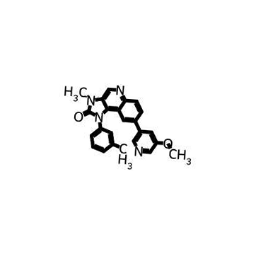 COc1cncc(-c2ccc3ncc4c(c3c2)n(-c2cccc(C)c2)c(=O)n4C)c1